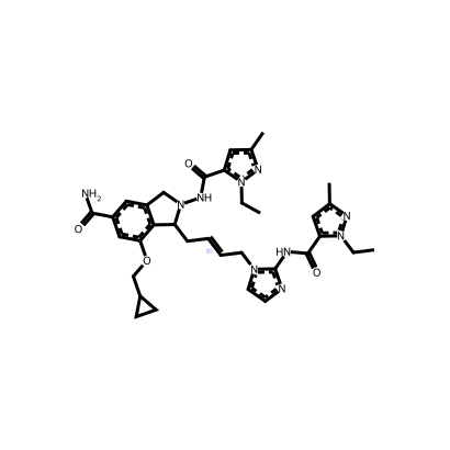 CCn1nc(C)cc1C(=O)Nc1nccn1C/C=C/CC1c2c(cc(C(N)=O)cc2OCC2CC2)CN1NC(=O)c1cc(C)nn1CC